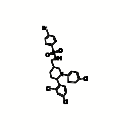 O=S(=O)(NCC1CCC(c2ccc(Cl)cc2Cl)N(c2ccc(Cl)cc2)C1)c1ccc(Br)cc1